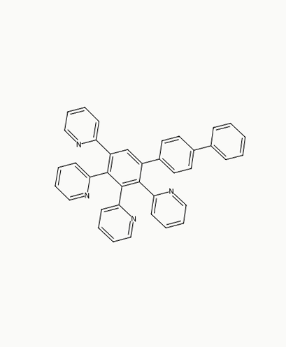 c1ccc(-c2ccc(-c3cc(-c4ccccn4)c(-c4ccccn4)c(-c4ccccn4)c3-c3ccccn3)cc2)cc1